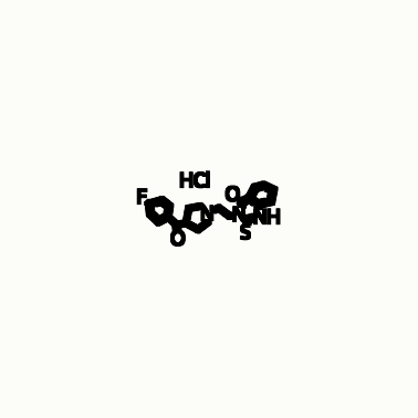 Cl.O=C(c1ccc(F)cc1)C1CCN(CCn2c(=S)[nH]c3ccccc3c2=O)CC1